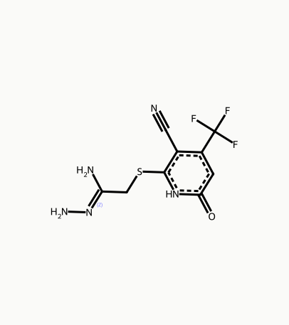 N#Cc1c(C(F)(F)F)cc(=O)[nH]c1SC/C(N)=N/N